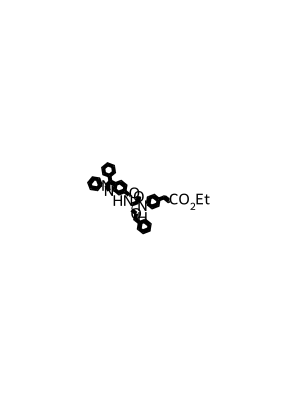 CCOC(=O)/C=C/c1ccc(NC(=O)[C@H](COCc2ccccc2)NC(=O)c2ccc3c(C4CCCCC4)n(-c4ccccc4)nc3c2)cc1